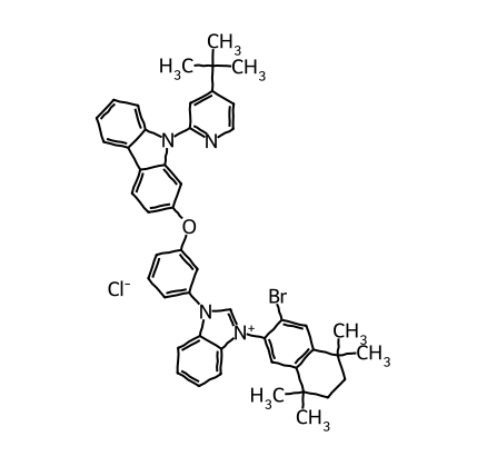 CC(C)(C)c1ccnc(-n2c3ccccc3c3ccc(Oc4cccc(-n5c[n+](-c6cc7c(cc6Br)C(C)(C)CCC7(C)C)c6ccccc65)c4)cc32)c1.[Cl-]